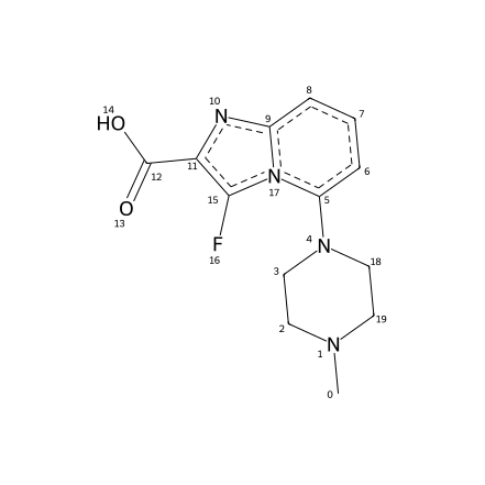 CN1CCN(c2cccc3nc(C(=O)O)c(F)n23)CC1